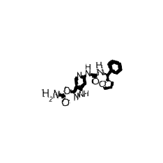 NC(=O)Oc1n[nH]c2cc(NC(=O)N[C@@H](c3ccccc3)[C@H]3CCCO3)ncc12